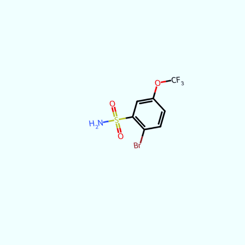 NS(=O)(=O)c1cc(OC(F)(F)F)ccc1Br